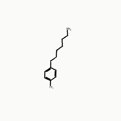 NCCCCCCc1ccc(C(F)(F)F)cc1